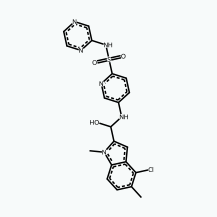 Cc1ccc2c(cc(C(O)Nc3ccc(S(=O)(=O)Nc4cnccn4)nc3)n2C)c1Cl